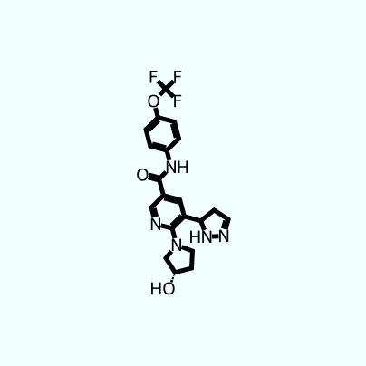 O=C(Nc1ccc(OC(F)(F)F)cc1)c1cnc(N2CC[C@H](O)C2)c(C2CC=NN2)c1